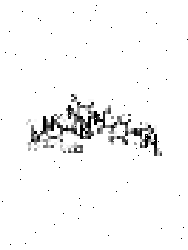 Cc1cc(N(C)Cc2ccc(-c3cnn(C)c3)cc2)n2nc(C)c(-c3cnc(N(C)C)cc3C)c2n1